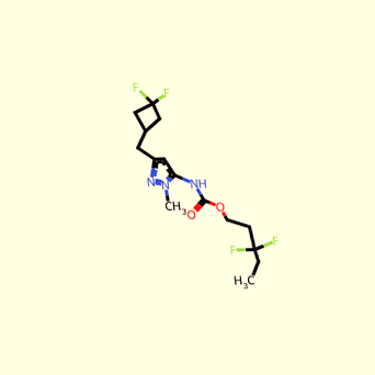 CCC(F)(F)CCOC(=O)Nc1cc(CC2CC(F)(F)C2)nn1C